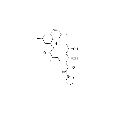 CC[C@H](C)C(=O)OC1C[C@@H](C)C=C2C=C[C@H](C)[C@H](CC[C@@H](O)C[C@@H](O)CC(=O)NN3CCCC3)[C@H]21